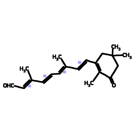 CC1=C(/C=C/C(C)=C/C=C/C(C)=C/C=O)CC(C)(C)CC1=O